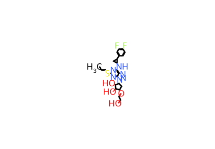 CCCSc1nc(NC2CC2c2ccc(F)c(F)c2)c2nnn([C@@H]3C[C@H](OCCO)[C@@H](O)[C@H]3O)c2n1